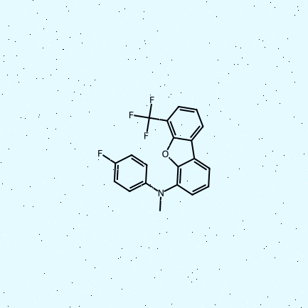 CN(c1ccc(F)cc1)c1cccc2c1oc1c(C(F)(F)F)cccc12